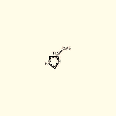 CO[SiH3].c1c[nH]cn1